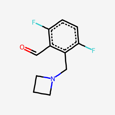 O=Cc1c(F)ccc(F)c1CN1CCC1